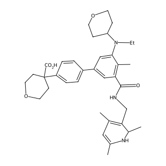 CCN(c1cc(-c2ccc(C3(C(=O)O)CCOCC3)cc2)cc(C(=O)NCC2=C(C)C=C(C)NC2C)c1C)C1CCOCC1